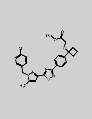 Cc1cc(-c2nc(-c3ccc(C4(OCC(=O)OC(C)(C)C)CCC4)cc3)no2)nn1Cc1ccc(Cl)nc1